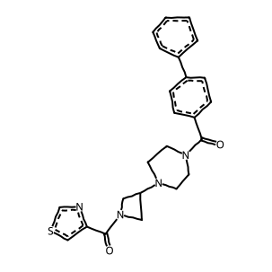 O=C(c1ccc(-c2ccccc2)cc1)N1CCN(C2CN(C(=O)c3cscn3)C2)CC1